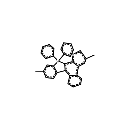 Cc1ccc2c(c1)[Si](c1ccccc1)(c1ccccc1)c1c-2c2ccccc2c2cc(C)cnc12